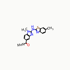 CNC(=O)c1ccc2c(c1)nc(Nc1nc3ccc(C)cc3s1)n2C